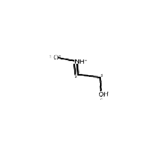 [O-][NH+]=CCO